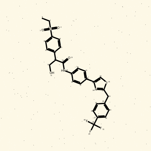 CCS(=O)(=O)c1ccc(C(CO)C(=O)Nc2ccc(-c3csc(Cc4ccc(C(F)(F)F)cc4)n3)cc2)cc1